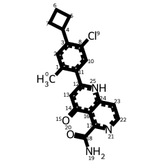 Cc1cc(C2CCC2)c(Cl)cc1-c1cc(=O)c2c(C(N)=O)nccc2[nH]1